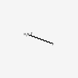 NCC(F)CCCCCCCCCCCCCCF